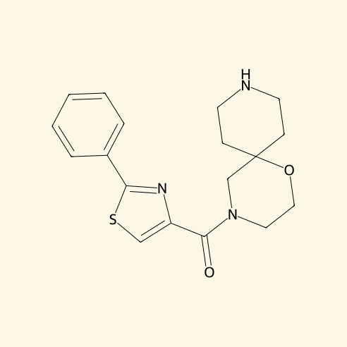 O=C(c1csc(-c2ccccc2)n1)N1CCOC2(CCNCC2)C1